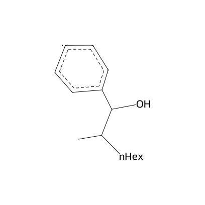 CCCCCCC(C)C(O)c1cc[c]cc1